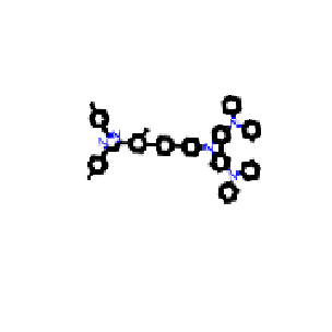 Cc1ccc(-c2cc(-c3ccc(-c4ccc(-c5ccc(-n6c7ccc(N(c8ccccc8)c8ccccc8)cc7c7cc(N(c8ccccc8)c8ccccc8)ccc76)cc5)cc4)c(C)c3)nc(-c3ccc(C)cc3)n2)cc1